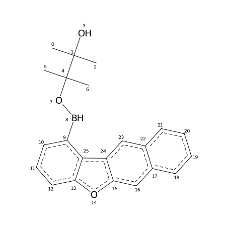 CC(C)(O)C(C)(C)OBc1cccc2oc3cc4ccccc4cc3c12